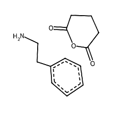 NCCc1ccccc1.O=C1CCCC(=O)O1